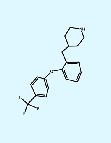 FC(F)(F)c1ccc(Oc2ccccc2CC2CCNCC2)cc1